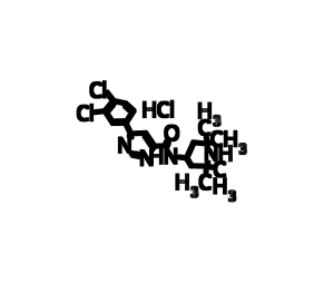 CC1(C)CC(NC(=O)c2cc(-c3ccc(Cl)c(Cl)c3)ncn2)CC(C)(C)N1.Cl